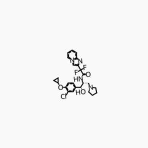 O=C(N[C@H](CN1CCCC1)[C@H](O)c1ccc(OC2CC2)c(Cl)c1)C(F)(F)c1cn2ccccc2n1